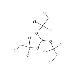 ClCC(Cl)(Cl)OB(OC(Cl)(Cl)CCl)OC(Cl)(Cl)CCl